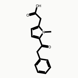 Cn1c(CC(=O)O)ccc1C(=O)Cc1ccccc1